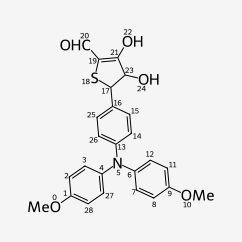 COc1ccc(N(c2ccc(OC)cc2)c2ccc(C3SC(C=O)=C(O)C3O)cc2)cc1